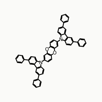 c1ccc(-c2ccc3c(c2)c2cc(-c4ccccc4)ccc2n3-c2ccc3c(c2)Oc2ccc(-n4c5ccc(-c6ccccc6)cc5c5cc(-c6ccccc6)ccc54)cc2O3)cc1